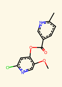 COc1cnc(Cl)cc1OC(=O)c1ccc(C)nc1